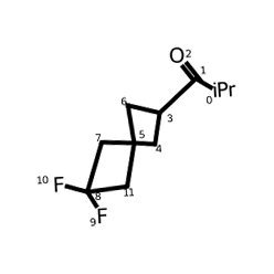 CC(C)C(=O)C1CC2(C1)CC(F)(F)C2